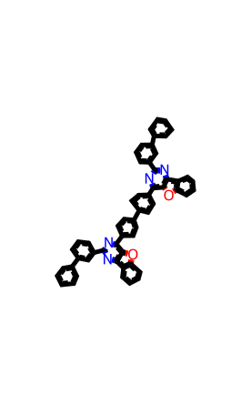 c1ccc(-c2cccc(-c3nc(-c4ccc(-c5ccc(-c6nc(-c7cccc(-c8ccccc8)c7)nc7c6oc6ccccc67)cc5)cc4)c4oc5ccccc5c4n3)c2)cc1